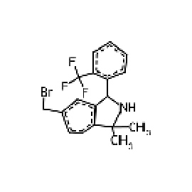 CC1(C)NC(c2ccccc2C(F)(F)F)c2cc(CBr)ccc21